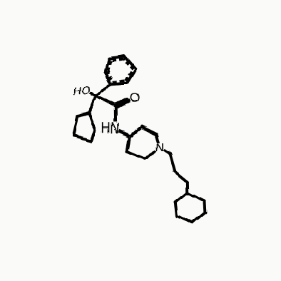 O=C(NC1CCN(CCCC2CCCCC2)CC1)C(O)(c1ccccc1)C1CCCC1